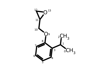 CC(C)c1ccccc1OCC1CO1